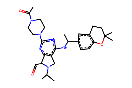 CC(=O)N1CCN(c2nc(NC(C)c3ccc4c(c3)CCC(C)(C)O4)c3c(n2)[C@H](C=O)N(C(C)C)C3)CC1